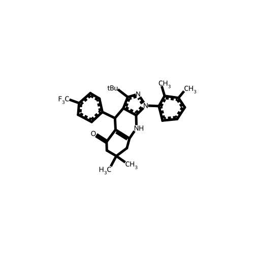 Cc1cccc(-n2nc(C(C)(C)C)c3c2NC2=C(C(=O)CC(C)(C)C2)C3c2ccc(C(F)(F)F)cc2)c1C